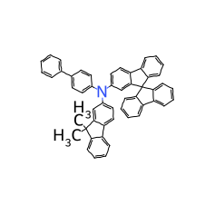 CC1(C)c2ccccc2-c2ccc(N(c3ccc(-c4ccccc4)cc3)c3ccc4c(c3)C3(c5ccccc5-c5ccccc53)c3ccccc3-4)cc21